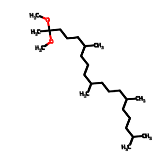 COC(C)(CCCC(C)CCCC(C)CCCC(C)CCCC(C)C)OC